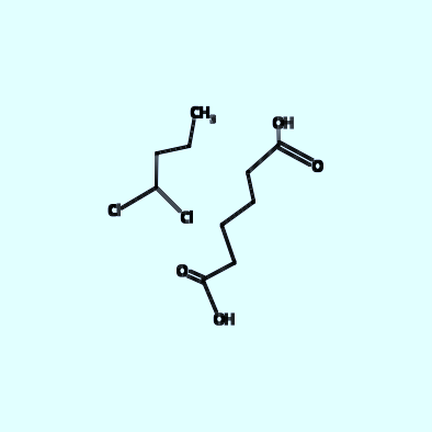 CCCC(Cl)Cl.O=C(O)CCCCC(=O)O